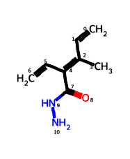 C=C/C(C)=C(\C=C)C(=O)NN